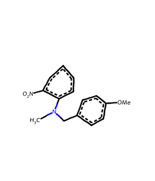 COc1ccc(CN(C)c2ccccc2[N+](=O)[O-])cc1